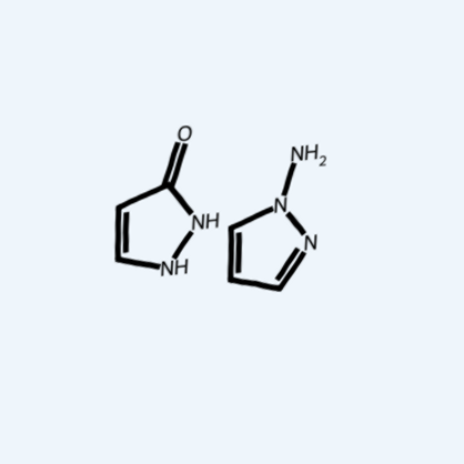 Nn1cccn1.O=c1cc[nH][nH]1